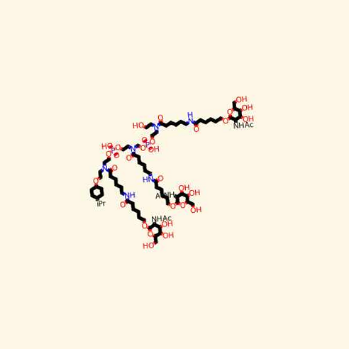 CC(=O)NC1C(OCCCCCC(=O)NCCCCCC(=O)N(CCO)CCOP(=O)(O)OCN(CCOP(=O)(O)OCCN(CCOC2CCC(C(C)C)CC2)C(=O)CCCCCNC(=O)CCCCCOC2OC(CO)C(O)C(O)C2NC(C)=O)C(=O)CCCCCNC(=O)CCCCCOC2OC(CO)C(O)C(O)C2NC(C)=O)OC(CO)C(O)C1O